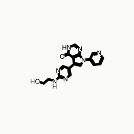 O=c1[nH]cnc2c1c(-c1cnc(NCCO)nc1)cn2-c1cccnc1